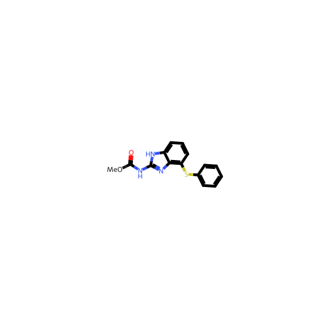 COC(=O)Nc1nc2c(Sc3ccccc3)cccc2[nH]1